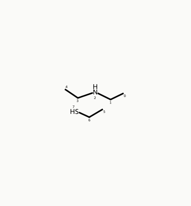 CCNCC.CCS